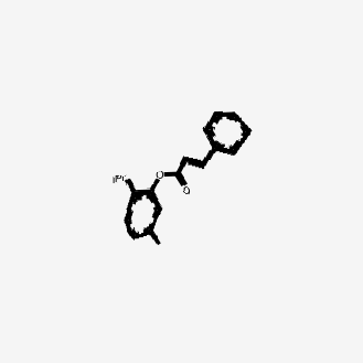 Cc1ccc(C(C)C)c(OC(=O)/C=C/c2ccccc2)c1